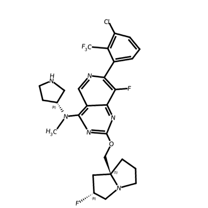 CN(c1nc(OC[C@@]23CCCN2C[C@H](F)C3)nc2c(F)c(-c3cccc(Cl)c3C(F)(F)F)ncc12)[C@@H]1CCNC1